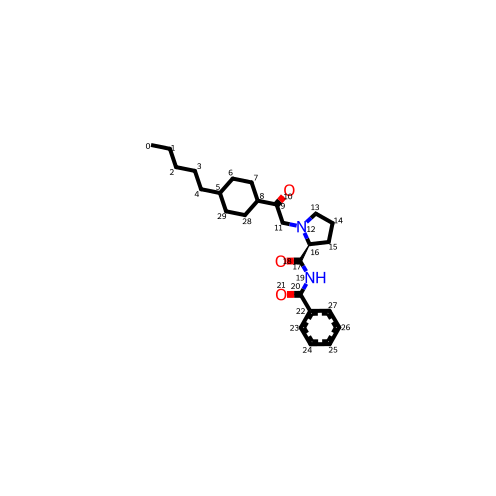 CCCCCC1CCC(C(=O)CN2CCC[C@H]2C(=O)NC(=O)c2ccccc2)CC1